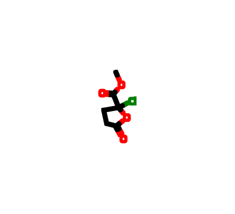 COC(=O)C1(Cl)CCC(=O)O1